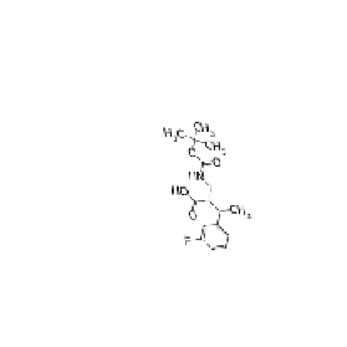 C[C@@H](c1cccc(F)c1)[C@@H](CNC(=O)OC(C)(C)C)C(=O)O